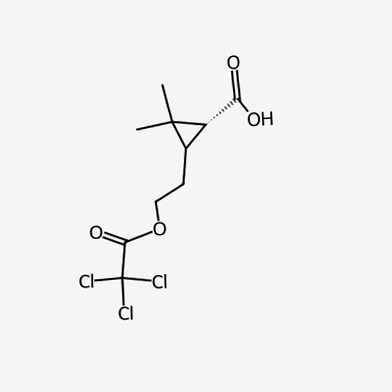 CC1(C)C(CCOC(=O)C(Cl)(Cl)Cl)[C@H]1C(=O)O